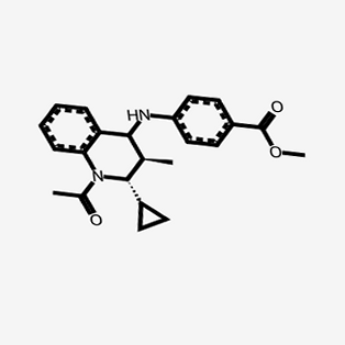 COC(=O)c1ccc(NC2c3ccccc3N(C(C)=O)[C@@H](C3CC3)[C@@H]2C)cc1